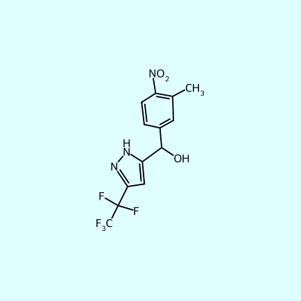 Cc1cc(C(O)c2cc(C(F)(F)C(F)(F)F)n[nH]2)ccc1[N+](=O)[O-]